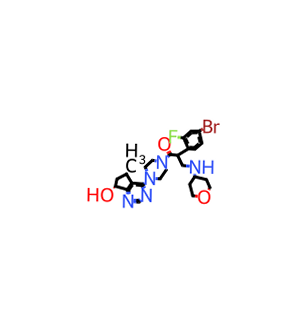 C[C@@H]1C[C@@H](O)c2ncnc(N3CCN(C(=O)C(CNC4CCOCC4)c4ccc(Br)cc4F)CC3)c21